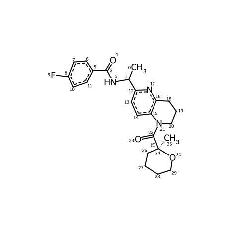 CC(NC(=O)c1ccc(F)cc1)c1ccc2c(n1)CCCN2C(=O)[C@]1(C)CCCCO1